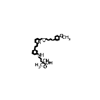 COc1ccc(CCCCOCc2cccc(C=Cc3cccc(NCCCC(C)(C)C(=O)O)c3)n2)cc1